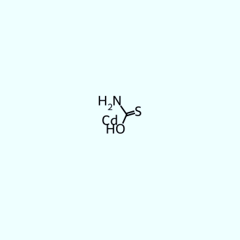 NC(O)=S.[Cd]